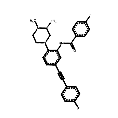 C[C@H]1CN(c2ccc(C#Cc3ccc(F)cc3)cc2NC(=O)c2ccc(F)cc2)CCN1C